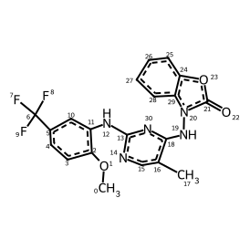 COc1ccc(C(F)(F)F)cc1Nc1ncc(C)c(Nn2c(=O)oc3ccccc32)n1